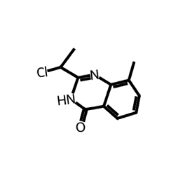 Cc1cccc2c(=O)[nH]c(C(C)Cl)nc12